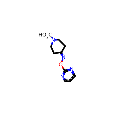 O=C(O)N1CCC(=NOc2ncccn2)CC1